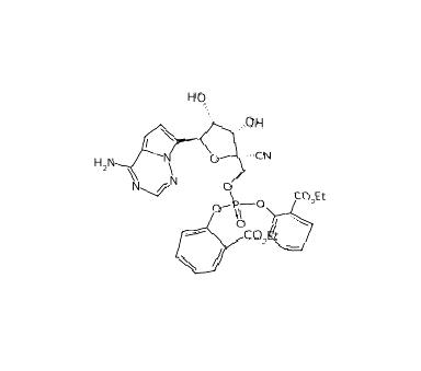 CCOC(=O)c1ccccc1OP(=O)(OC[C@@]1(C#N)O[C@@H](c2ccc3c(N)ncnn23)[C@H](O)[C@@H]1O)Oc1ccccc1C(=O)OCC